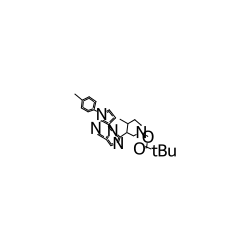 Cc1ccc(-n2ccc3c2ncc2cnc(C4CN(OC(=O)C(C)(C)C)CCC4C)n23)cc1